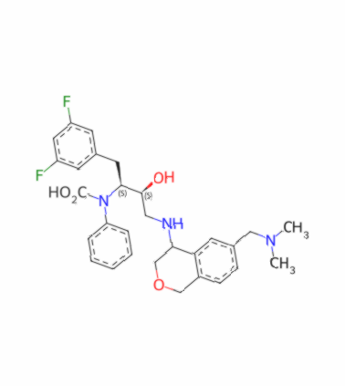 CN(C)Cc1ccc2c(c1)C(NC[C@H](O)[C@H](Cc1cc(F)cc(F)c1)N(C(=O)O)c1ccccc1)COC2